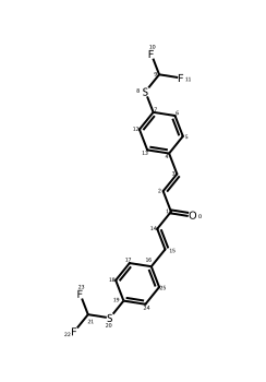 O=C(/C=C/c1ccc(SC(F)F)cc1)/C=C/c1ccc(SC(F)F)cc1